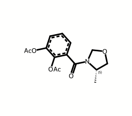 CC(=O)Oc1cccc(C(=O)N2COC[C@@H]2C)c1OC(C)=O